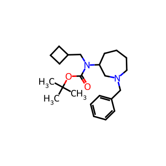 CC(C)(C)OC(=O)N(CC1CCC1)C1CCCCN(Cc2ccccc2)C1